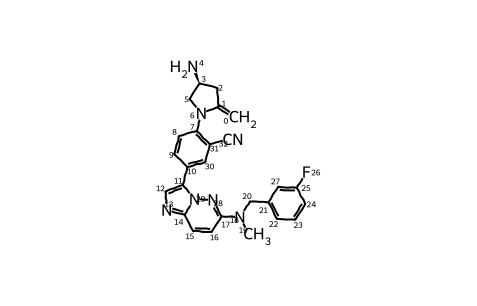 C=C1C[C@H](N)CN1c1ccc(-c2cnc3ccc(N(C)Cc4cccc(F)c4)nn23)cc1C#N